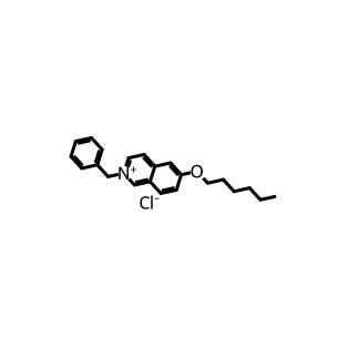 CCCCCCOc1ccc2c[n+](Cc3ccccc3)ccc2c1.[Cl-]